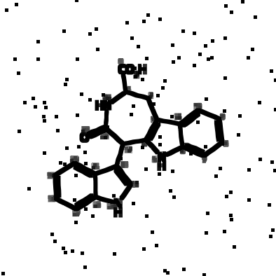 O=C(O)C1Cc2c([nH]c3ccccc23)C(c2c[nH]c3ccccc23)C(=O)N1